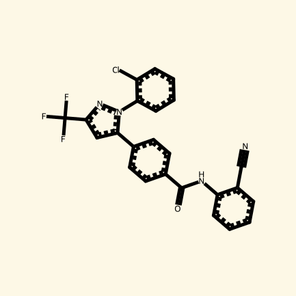 N#Cc1ccccc1NC(=O)c1ccc(-c2cc(C(F)(F)F)nn2-c2ccccc2Cl)cc1